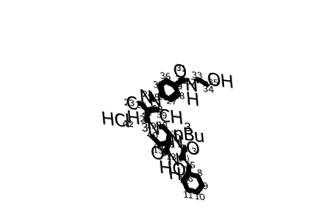 CCCCN1C(=O)[C@@H](CC2(O)CCCCC2)NC(=O)C12CCN(Cc1c(C)nn(-c3ccc(C(=O)NCCO)cc3)c1C)CC2.Cl